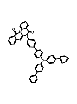 O=c1c2ccccc2n2c(=O)c3ccccc3cc2n1-c1ccc(-c2ccc(N(c3ccc(-c4ccccc4)cc3)c3ccc(-c4ccccc4)cc3)cc2)cc1